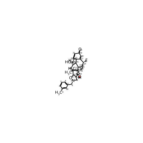 Cc1cccc(CN2C[C@@H]3C[C@@]4(C)[C@@H]5C[C@H](F)C6=CC(=O)C=C[C@]6(C)[C@@]5(F)[C@@H](O)C[C@]4(C)[C@]3(C(=O)SCF)O2)c1